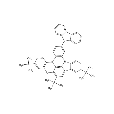 CC(C)(C)c1ccc2c(c1)Oc1c(C(C)(C)C)cc3c4cc(C(C)(C)C)ccc4n4c3c1B2c1ccc(-n2c3ccccc3c3ccccc32)cc1-4